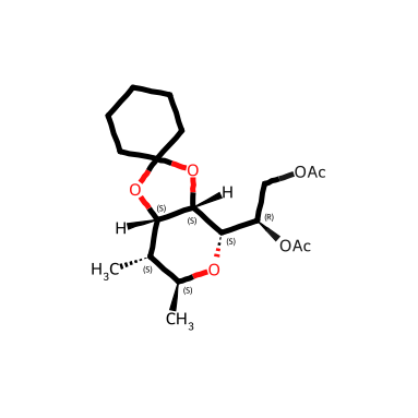 CC(=O)OC[C@@H](OC(C)=O)[C@@H]1O[C@@H](C)[C@H](C)[C@@H]2OC3(CCCCC3)O[C@H]12